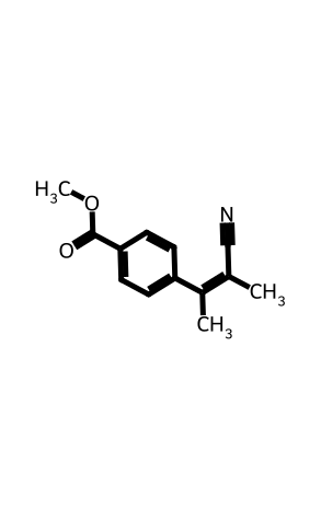 COC(=O)c1ccc(C(C)=C(C)C#N)cc1